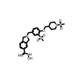 CS(=O)(=O)c1cc(CN2Cc3ccc(C(=N)NO)cc3C2)ccc1OCC1CCN(S(C)(=O)=O)CC1